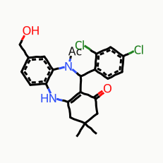 CC(=O)N1c2cc(CO)ccc2NC2=C(C(=O)CC(C)(C)C2)C1c1ccc(Cl)cc1Cl